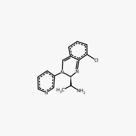 CC(N)[C@@H]1N=c2c(Cl)cccc2=CN1c1cccnc1